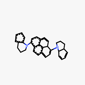 C1=CC2C(N3CCCC4C=CC=CC43)=CC=c3ccc4c(N5CCCc6ccccc65)ccc=1c4c32